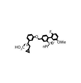 CCC[S+]([O-])c1cc(COc2cccc([C@@H](CC(=O)O)CC3CC3)c2)ccc1-c1cc(OC)ccc1F